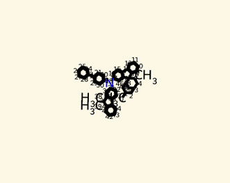 CC1CC2CC(C)C3(c4ccccc4-c4ccc(N(c5ccc(-c6ccccc6)cc5)c5ccc6c(c5)C(C)(C)c5ccccc5-6)cc43)C(C1)C2